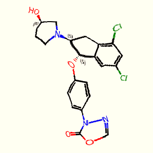 O=c1ocnn1-c1ccc(O[C@H]2c3cc(Cl)cc(Cl)c3C[C@@H]2N2CC[C@@H](O)C2)cc1